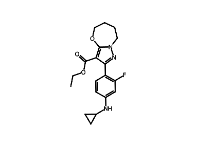 CCOC(=O)c1c(-c2ccc(NC3CC3)cc2F)nn2c1OCCCC2